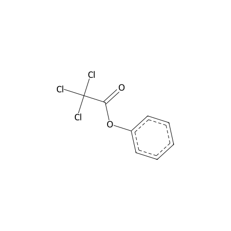 O=C(Oc1ccccc1)C(Cl)(Cl)Cl